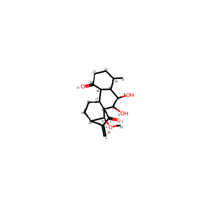 C=C1C(=O)C23C(O)C(O)C4C(C)CCC(=O)C4C2CCC1C3OC